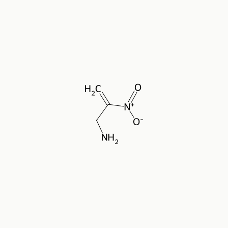 C=C(CN)[N+](=O)[O-]